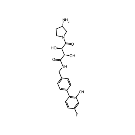 N#Cc1cc(F)ccc1-c1ccc(CNC(=O)[C@H](O)[C@@H](O)C(=O)N2CC[C@H](N)C2)cc1